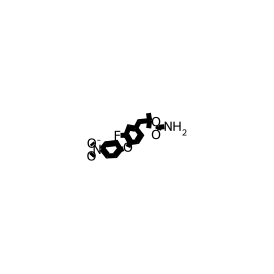 CC(C)(Cc1ccc(Oc2ccc([N+](=O)[O-])cc2)c(F)c1)OC(N)=O